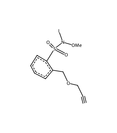 C#CCOCc1ccccc1S(=O)(=O)N(I)OC